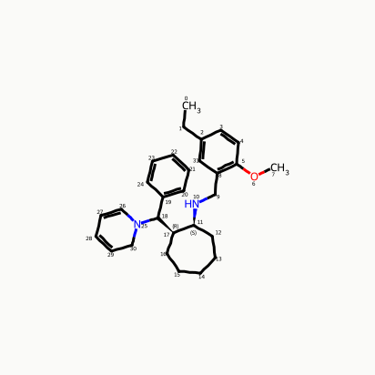 CCc1ccc(OC)c(CN[C@H]2CCCCC[C@H]2C(c2ccccc2)N2C=CC=CC2)c1